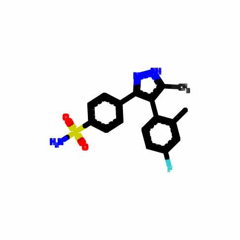 Cc1cc(F)ccc1-c1c(-c2ccc(S(N)(=O)=O)cc2)n[nH]c1C(F)(F)F